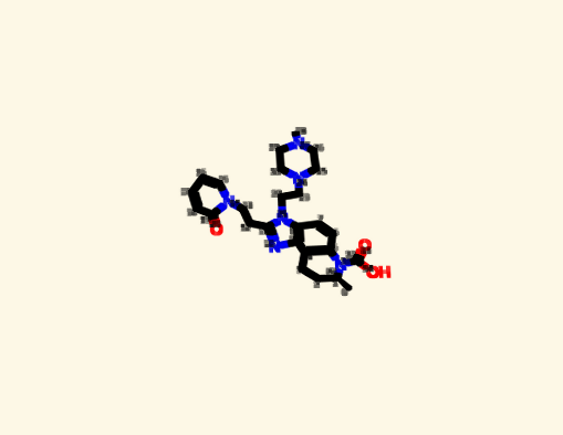 C[C@H]1CCc2c(ccc3c2nc(CCn2ccccc2=O)n3CCN2CCN(C)CC2)N1C(=O)O